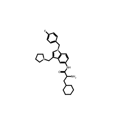 NC(CC1CCCCC1)C(=O)Nc1ccc2c(c1)c(CN1CCCC1)cn2Cc1ccc(F)cc1